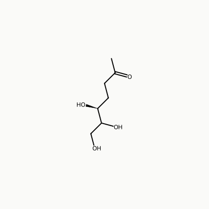 CC(=O)CC[C@H](O)C(O)CO